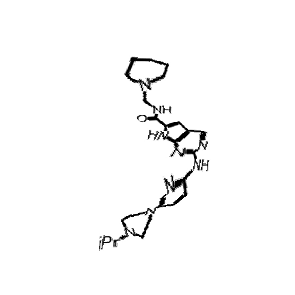 CC(C)N1CCN(c2ccc(Nc3ncc4cc(C(=O)NCN5CCCCC5)[nH]c4n3)nc2)CC1